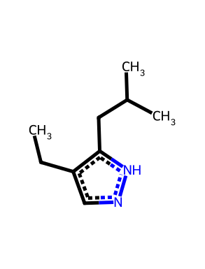 CCc1cn[nH]c1CC(C)C